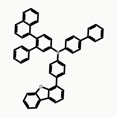 c1ccc(-c2ccc(N(c3ccc(-c4cccc5c4oc4ccccc45)cc3)c3ccc(-c4cccc5ccccc45)c(-c4ccccc4)c3)cc2)cc1